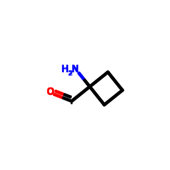 NC1([C]=O)CCC1